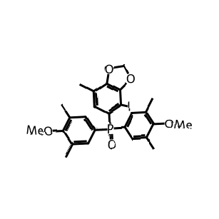 COc1c(C)cc(P(=O)(c2cc(C)c(OC)c(C)c2)c2cc(C)c3c(c2I)OCO3)cc1C